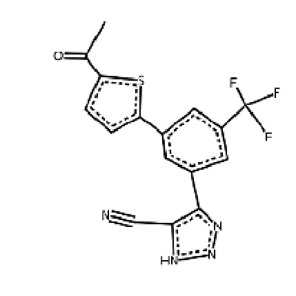 CC(=O)c1ccc(-c2cc(-c3nn[nH]c3C#N)cc(C(F)(F)F)c2)s1